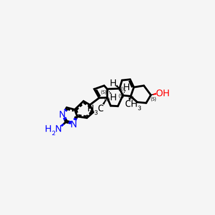 C[C@]12CC[C@H](O)CC1=CC[C@@H]1[C@@H]2CC[C@]2(C)C(c3ccc4nc(N)ncc4c3)=CC[C@@H]12